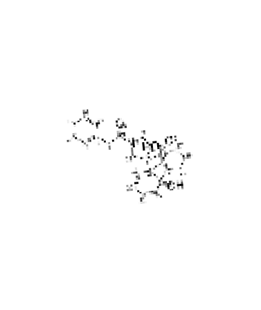 O=C(O)CC1(C2CCN(C(=O)Cc3ccccc3)C2)C=CC=CC1(O)C1CCCC1